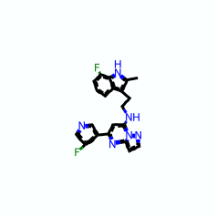 Cc1[nH]c2c(F)cccc2c1CCNc1cc(-c2cncc(F)c2)nc2ccnn12